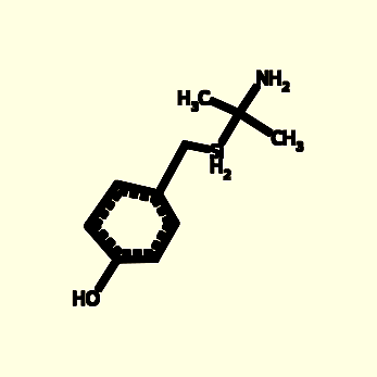 CC(C)(N)[SiH2]Cc1ccc(O)cc1